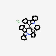 C[C](C)=[Zr+2]([CH]1c2ccccc2-c2c1n(-c1ccccc1)c1ccccc21)[CH]1c2ccccc2-c2c1n(-c1ccccc1)c1ccccc21.[Cl-].[Cl-]